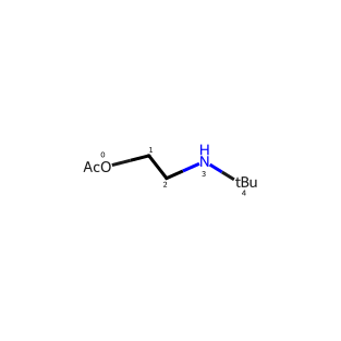 CC(=O)OCCNC(C)(C)C